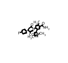 Cc1cc(-c2cc(C(N)=O)c(C)cc2N2C=C(C(=O)O)[C@H](c3ccc(F)cc3)CC2=O)n(C)n1